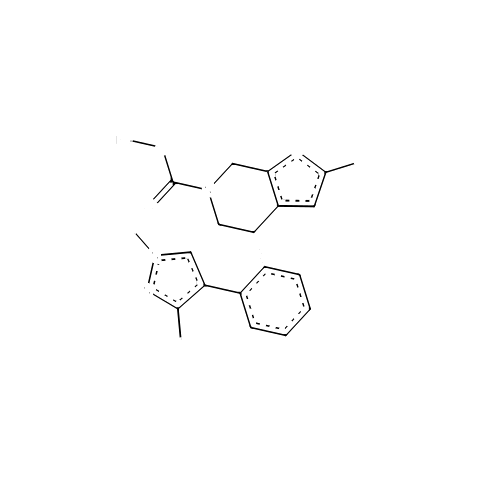 CCn1cc(-c2ccccc2[C@@H]2CN(C(=O)OC(C)(C)C)Cc3sc(C)cc32)c(C(F)(F)F)n1